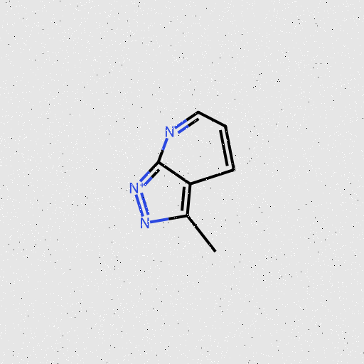 CC1=c2cccnc2=[N+]=N1